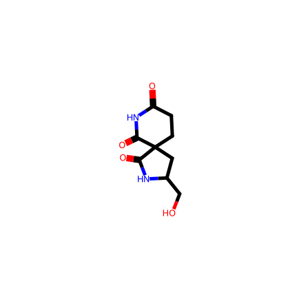 O=C1CCC2(CC(CO)NC2=O)C(=O)N1